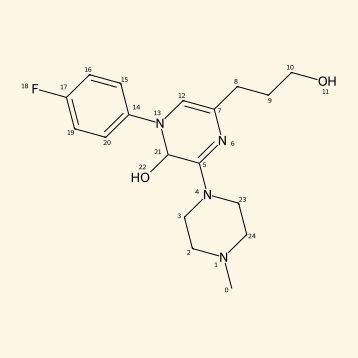 CN1CCN(C2=NC(CCCO)=CN(c3ccc(F)cc3)C2O)CC1